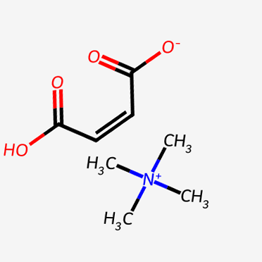 C[N+](C)(C)C.O=C([O-])/C=C\C(=O)O